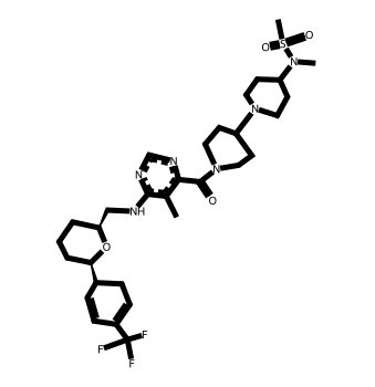 Cc1c(NC[C@@H]2CCC[C@H](C3C=CC(C(F)(F)F)=CC3)O2)ncnc1C(=O)N1CCC(N2CCC(N(C)S(C)(=O)=O)CC2)CC1